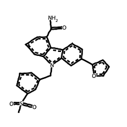 CS(=O)(=O)c1cccc(Cn2c3cc(-c4ccco4)c[c]c3c3c(C(N)=O)cccc32)c1